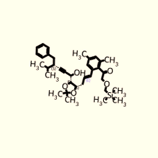 Cc1cc(C)c(C(=O)COC[Si](C)(C)C)c(/C=C/C[C@@H]2OC(C)(C)O[C@@H]2C(O)C#C[C@@H](Cc2ccccc2)C(C)C)c1